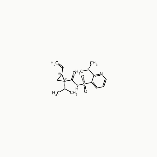 C=C[C@@H]1C[C@@]1(C(=O)NS(=O)(=O)c1cccnc1N(C)C)C(C)C